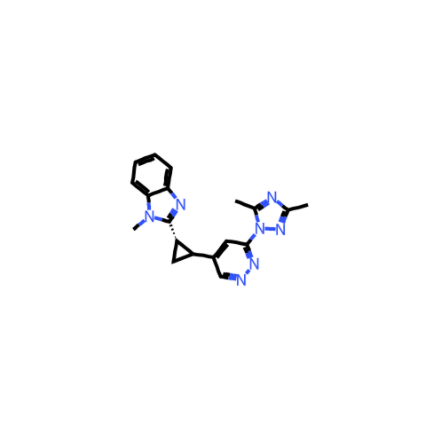 Cc1nc(C)n(-c2cc(C3C[C@@H]3c3nc4ccccc4n3C)cnn2)n1